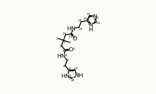 CC(C)(CC(=O)NCCC1=CNSN1)CC(=O)NCCc1cnc[nH]1